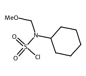 COCN(C1CCCCC1)S(=O)(=O)Cl